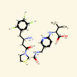 CC(C)[C@H](Nc1ccc(CNC(=O)[C@@H]2SCCN2C(=O)C[C@H](N)Cc2cc(F)c(F)cc2F)cn1)C(=O)O